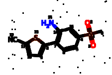 CS(=O)(=O)c1ccc(-c2ccc(C#N)s2)c(N)c1